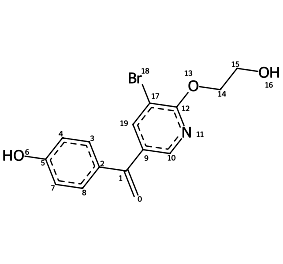 C=C(c1ccc(O)cc1)c1cnc(OCCO)c(Br)c1